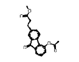 COC(=O)CCc1ccc2c(c1)C(=O)c1cccc(OC(C)=O)c1-2